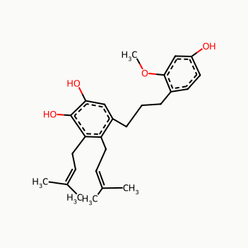 COc1cc(O)ccc1CCCc1cc(O)c(O)c(CC=C(C)C)c1CC=C(C)C